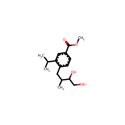 COC(=O)c1ccc(CC(C)C(O)CO)c(C(C)C)c1